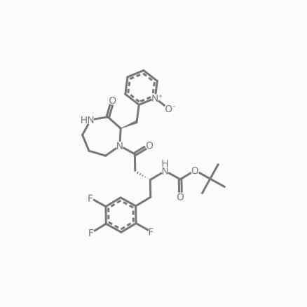 CC(C)(C)OC(=O)N[C@@H](CC(=O)N1CCCNC(=O)[C@H]1Cc1cccc[n+]1[O-])Cc1cc(F)c(F)cc1F